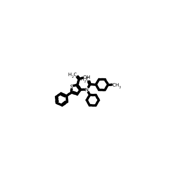 C=C(O)c1sc(-c2ccccc2)cc1N(C(=C)C1CCC(C)CC1)C1CCCCC1